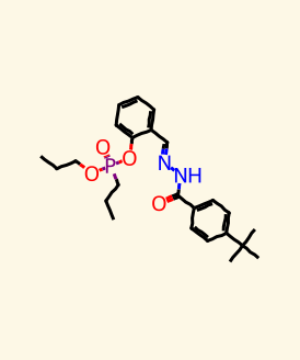 CCCOP(=O)(CCC)Oc1ccccc1C=NNC(=O)c1ccc(C(C)(C)C)cc1